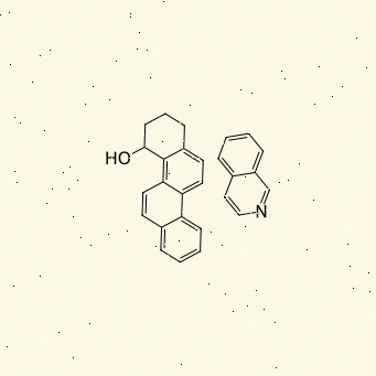 OC1CCCc2ccc3c(ccc4ccccc43)c21.c1ccc2cnccc2c1